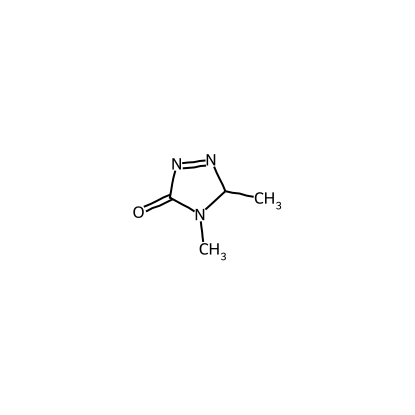 CC1N=NC(=O)N1C